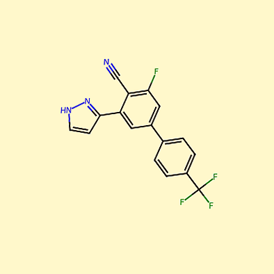 N#Cc1c(F)cc(-c2ccc(C(F)(F)F)cc2)cc1-c1cc[nH]n1